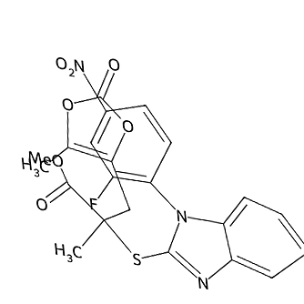 COC(=O)C(C)(Cc1oc(=O)oc1C)Sc1nc2ccccc2n1-c1ccc([N+](=O)[O-])cc1F